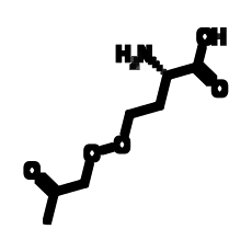 CC(=O)COOCC[C@H](N)C(=O)O